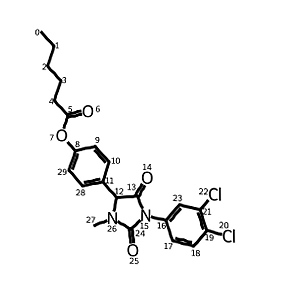 CCCCCC(=O)Oc1ccc(C2C(=O)N(c3ccc(Cl)c(Cl)c3)C(=O)N2C)cc1